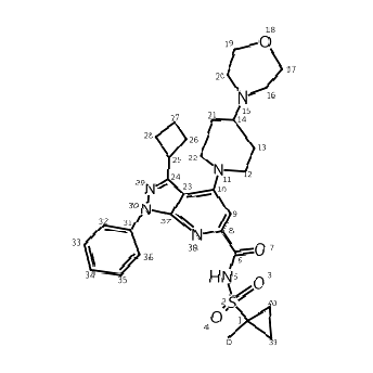 CC1(S(=O)(=O)NC(=O)c2cc(N3CCC(N4CCOCC4)CC3)c3c(C4CCC4)nn(-c4ccccc4)c3n2)CC1